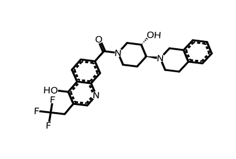 O=C(c1ccc2c(O)c(CC(F)(F)F)cnc2c1)N1CC[C@H](N2CCc3ccccc3C2)[C@@H](O)C1